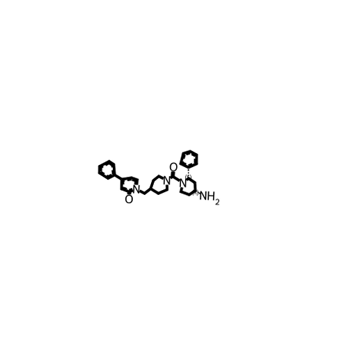 N[C@@H]1CCN(C(=O)N2CCC(Cn3ccc(-c4ccccc4)cc3=O)CC2)[C@H](c2ccccc2)C1